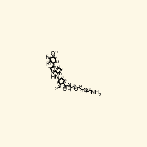 CCc1cc(Nc2nccn3c(-c4ccc(OC)c(F)c4F)cnc23)ccc1C(=O)NCCOCCOCCN